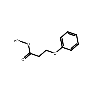 CCCOC(=O)CCOc1ccccc1